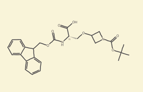 CC(C)(C)OC(=O)N1CC(OC[C@H](NC(=O)OCC2c3ccccc3-c3ccccc32)C(=O)O)C1